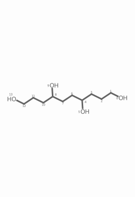 OCCCC(O)CCC(O)CCCO